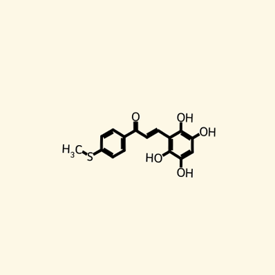 CSc1ccc(C(=O)/C=C/c2c(O)c(O)cc(O)c2O)cc1